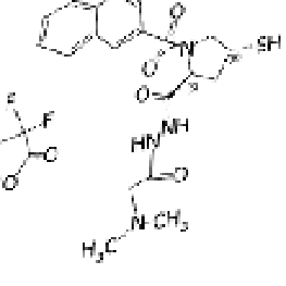 CN(C)CC(=O)NNC(=O)[C@@H]1C[C@@H](S)CN1S(=O)(=O)c1ccc2ccccc2c1.O=C(O)C(F)(F)F